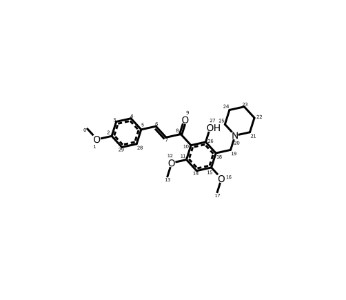 COc1ccc(C=CC(=O)c2c(OC)cc(OC)c(CN3CCCCC3)c2O)cc1